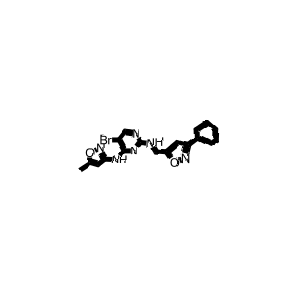 Cc1cc(Nc2nc(NCc3cc(-c4ccccc4)no3)ncc2Br)no1